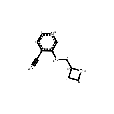 N#Cc1ccncc1OCC1CCO1